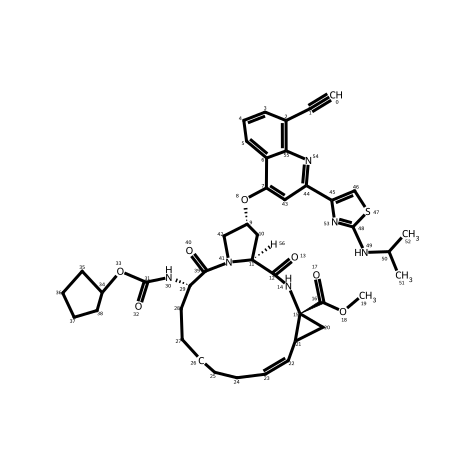 C#Cc1cccc2c(O[C@@H]3C[C@H]4C(=O)N[C@]5(C(=O)OC)CC5/C=C\CCCCC[C@H](NC(=O)OC5CCCC5)C(=O)N4C3)cc(-c3csc(NC(C)C)n3)nc12